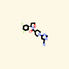 N#Cc1cc(N2CCC(C(=O)N3OCC[C@@H]3c3cc(F)cc(F)c3)CC2)ncn1